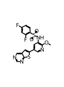 COc1ncc(-c2cc3cncnc3s2)cc1NS(=O)(=O)c1ccc(F)cc1F